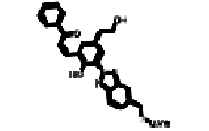 COOCc1ccc2nn(-c3cc(CCO)cc(/C=C\C(=O)c4ccccc4)c3O)nc2c1